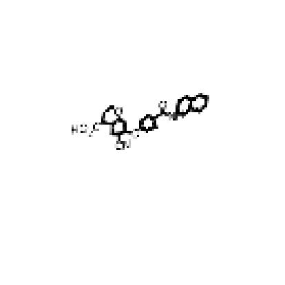 N#Cc1cc2c(cc1Oc1ccc(C(=O)Nc3ccc4ccccc4c3)cc1)OCCC2C(=O)O